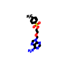 Cc1ccc(S(=O)(=O)OCCOCn2cnc3c(N)ncnc32)cc1